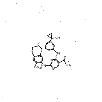 COc1cc2c(cc1Nc1ncc(C(N)=O)c(Nc3cccc(C4(C#N)CC4)c3)n1)CN(C)CC2